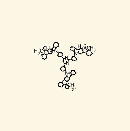 CC1(C)c2ccccc2-c2cc3c(cc21)c1ccccc1n3-c1ccc(-c2cc(-c3cccc(-n4c5ccccc5c5cc6c(cc54)-c4ccccc4C6(C)C)c3)nc(-c3cccc(-n4c5ccccc5c5cc6c(cc54)-c4ccccc4C6(C)C)c3)n2)cc1